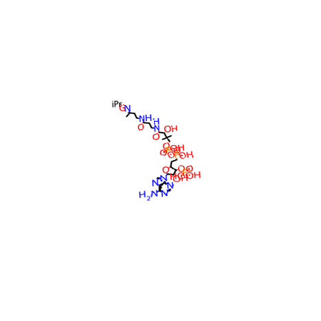 C/C(CCNC(=O)CCNC(=O)[C@@H](O)C(C)(C)COP(=O)(O)OP(=O)(O)CCC1OC(n2cnc3c(N)ncnc32)C(O)C1OP(=O)(O)O)=N\OC(C)C